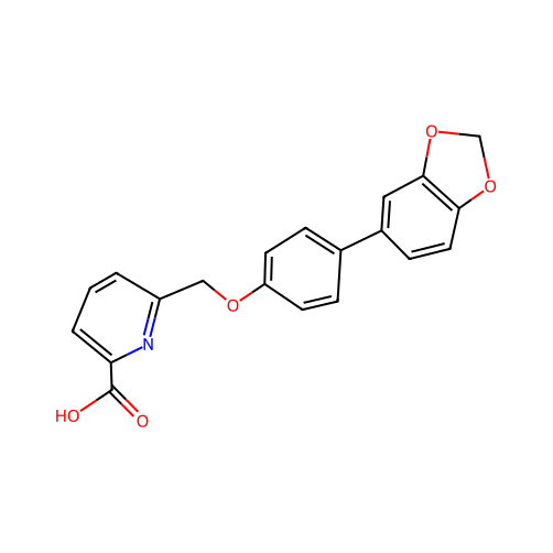 O=C(O)c1cccc(COc2ccc(-c3ccc4c(c3)OCO4)cc2)n1